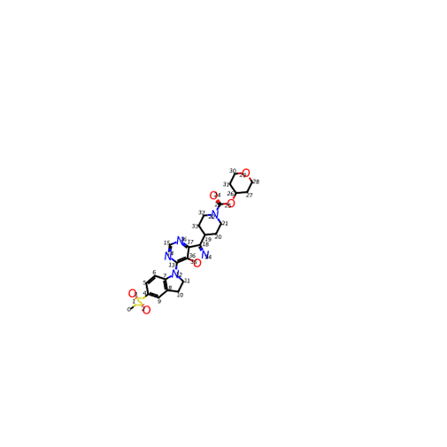 CS(=O)(=O)c1ccc2c(c1)CCN2c1ncnc2c(C3CCN(C(=O)OC4CCOCC4)CC3)noc12